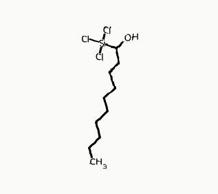 CCCCCCCCCC(O)[Si](Cl)(Cl)Cl